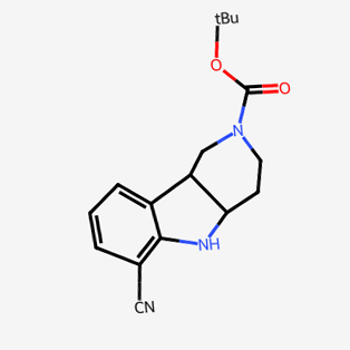 CC(C)(C)OC(=O)N1CCC2Nc3c(C#N)cccc3C2C1